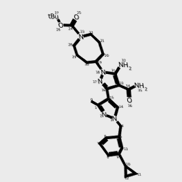 Cc1nn(Cc2cccc(C3CC3)c2)cc1-c1nn(C2CCCN(C(=O)OC(C)(C)C)CCC2)c(N)c1C(N)=O